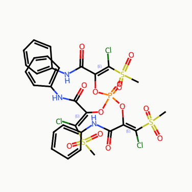 CS(=O)(=O)/C(Cl)=C(\OP(=O)(O/C(C(=O)Nc1ccccc1)=C(/Cl)S(C)(=O)=O)O/C(C(=O)Nc1ccccc1)=C(/Cl)S(C)(=O)=O)C(=O)Nc1ccccc1